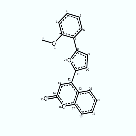 COc1ccccc1-c1ccc(-c2cc(=O)oc3ccccc23)o1